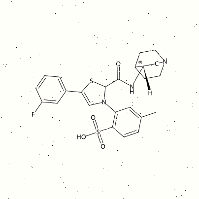 Cc1ccc(S(=O)(=O)O)c(N2C=C(c3cccc(F)c3)SC2C(=O)N[C@H]2CN3CCC2CC3)c1